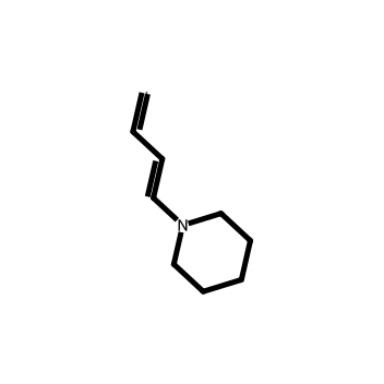 [CH]=CC=CN1CCCCC1